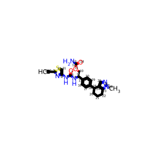 C#Cc1nc(NC(=O)N[C@@H](COC(N)=O)c2ccc(C3CCCc4c3cnn4C)cc2)cs1